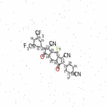 Cc1cc(-c2c(C#N)c3c(F)c4c(C#N)c(-c5cc(C(F)(F)F)cc(C(F)(F)F)c5)c(=O)c4cc3c2=O)ccc1C#N